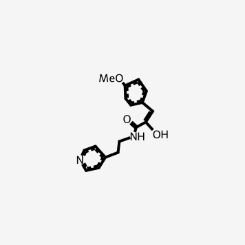 COc1ccc(/C=C(/O)C(=O)NCCc2ccncc2)cc1